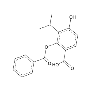 CC(C)c1c(O)ccc(C(=O)O)c1OC(=O)c1ccccc1